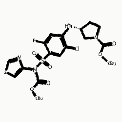 CC(C)(C)OC(=O)N1CC[C@@H](Nc2cc(F)c(S(=O)(=O)N(C(=O)OC(C)(C)C)c3cscn3)cc2Cl)C1